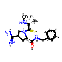 CCOC(=O)N[C@@H](C(=S)N1CC(C(=N)N)C[C@H]1C(=O)NCc1ccccc1)C(C)(C)C